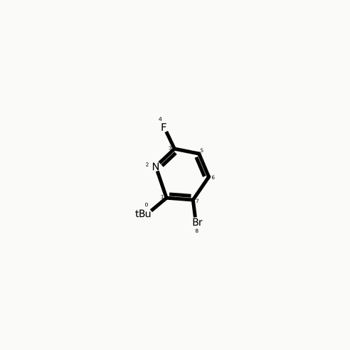 CC(C)(C)c1nc(F)ccc1Br